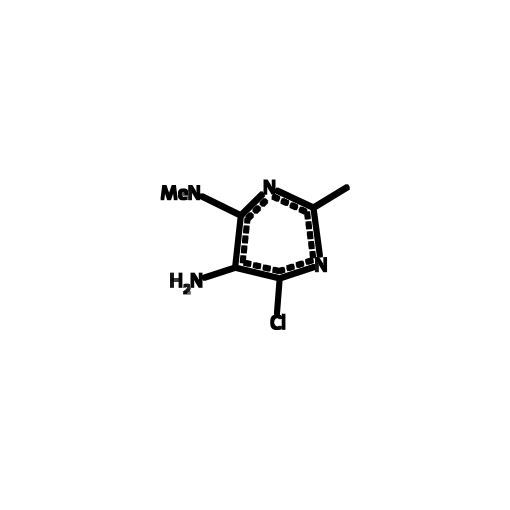 CNc1nc(C)nc(Cl)c1N